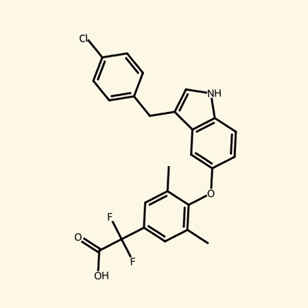 Cc1cc(C(F)(F)C(=O)O)cc(C)c1Oc1ccc2[nH]cc(Cc3ccc(Cl)cc3)c2c1